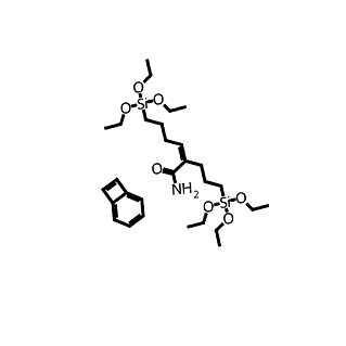 C1=Cc2ccccc21.CCO[Si](CCCC=C(CCC[Si](OCC)(OCC)OCC)C(N)=O)(OCC)OCC